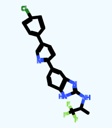 CC(Nc1nc2cc(-c3ccc(-c4ccc(Cl)cc4)cn3)ccc2[nH]1)C(F)(F)F